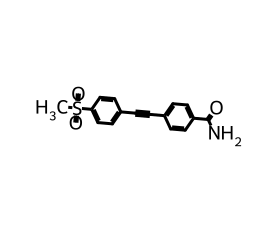 CS(=O)(=O)c1ccc(C#Cc2ccc(C(N)=O)cc2)cc1